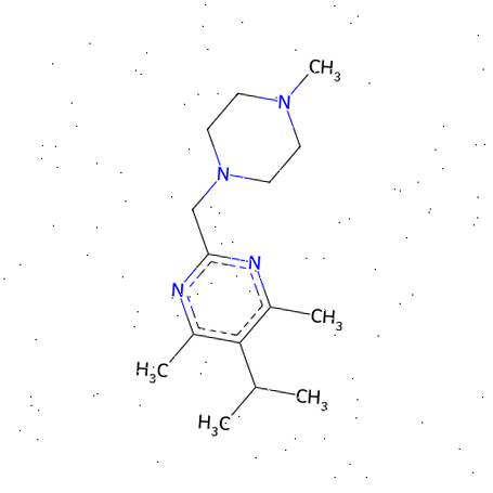 Cc1nc(CN2CCN(C)CC2)nc(C)c1C(C)C